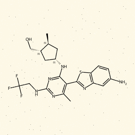 Cc1nc(NCC(F)(F)F)nc(N[C@@H]2C[C@H](CO)[C@@H](C)C2)c1-c1nc2cc(N)ccc2s1